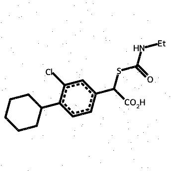 CCNC(=O)SC(C(=O)O)c1ccc(C2CCCCC2)c(Cl)c1